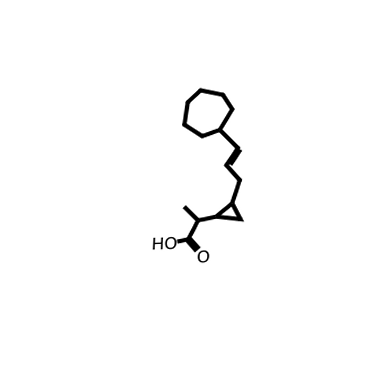 CC(C(=O)O)C1CC1CC=CC1CCCCCC1